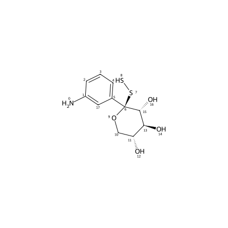 Nc1cccc([C@@]2(SS)OC[C@@H](O)[C@H](O)[C@H]2O)c1